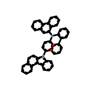 c1ccc(-c2ccccc2N(c2ccc(-n3c4ccccc4c4c5ccccc5ccc43)cc2)c2cc3ccccc3c3ccccc23)cc1